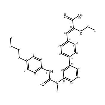 CCCCc1ccc(NC(=O)N(C)c2cccc(-c3ccc(C=C(OCC)C(=O)O)cc3)c2)cc1